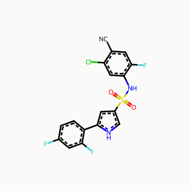 N#Cc1cc(F)c(NS(=O)(=O)c2c[nH]c(-c3ccc(F)cc3F)c2)cc1Cl